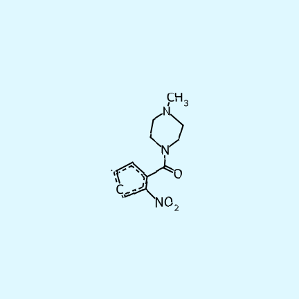 CN1CCN(C(=O)c2c[c]ccc2[N+](=O)[O-])CC1